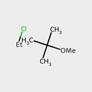 CCCl.COC(C)(C)C